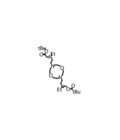 CCN(CCN1CCOCCN(CCN(CC)CC(=O)OC(C)(C)C)CCOCC1)COC(=O)C(C)(C)C